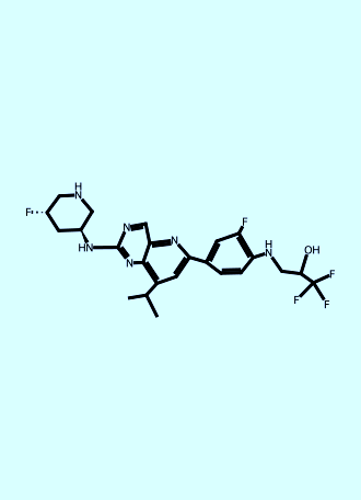 CC(C)c1cc(-c2ccc(NCC(O)C(F)(F)F)c(F)c2)nc2cnc(N[C@@H]3CNC[C@@H](F)C3)nc12